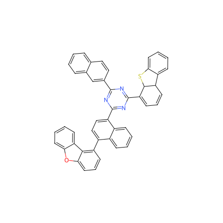 C1=CC2c3ccccc3SC2C(c2nc(-c3ccc4ccccc4c3)nc(-c3ccc(-c4cccc5oc6ccccc6c45)c4ccccc34)n2)=C1